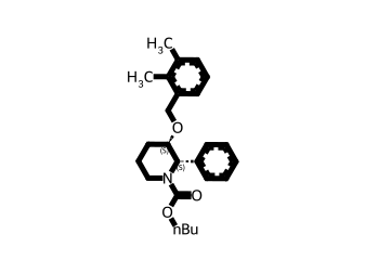 CCCCOC(=O)N1CCC[C@H](OCc2cccc(C)c2C)[C@@H]1c1ccccc1